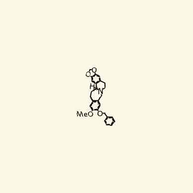 COc1cc2c(cc1OCc1ccccc1)CN1CCc3cc4c(cc3[C@@H]1CC2)OCO4